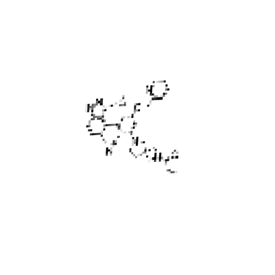 C=CC(=O)N1CC2(CCN(c3cc(OCc4ccccn4)cc(-c4c(C)ccc5[nH]nc(C6CC6)c45)c3C#N)C2)C1